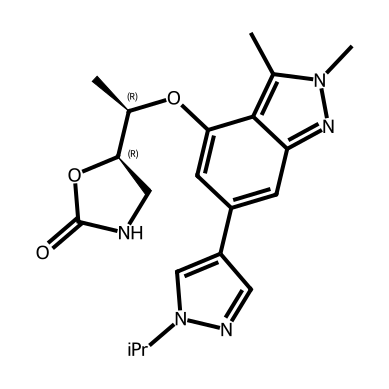 Cc1c2c(O[C@H](C)[C@H]3CNC(=O)O3)cc(-c3cnn(C(C)C)c3)cc2nn1C